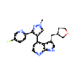 Cn1cc(-c2ccnc3[nH]cc(CC4CCOC4)c23)c(-c2ccc(F)cn2)n1